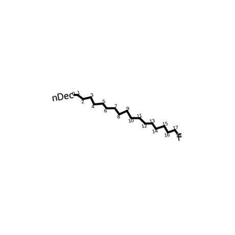 [CH2]CCCCCCCCCCCCCCCCCCCCCCCCCCF